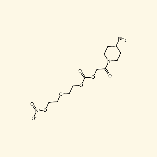 NC1CCN(C(=O)COC(=O)OCCOCCO[N+](=O)[O-])CC1